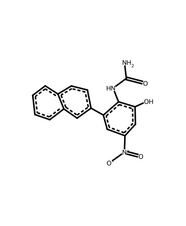 NC(=O)Nc1c(O)cc([N+](=O)[O-])cc1-c1ccc2ccccc2c1